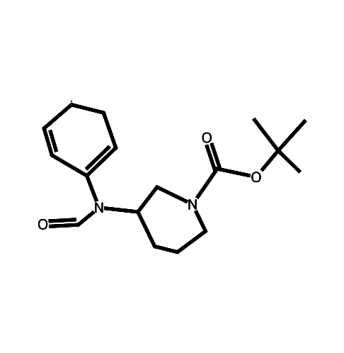 CC(C)(C)OC(=O)N1CCCC(N(C=O)C2=CC[CH]C=C2)C1